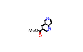 COC(=O)c1cnc2ccncc2c1